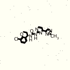 Cn1ncc(-c2ccnc(NC(=O)N[C@H]3CCOc4c(Cl)cccc43)n2)n1